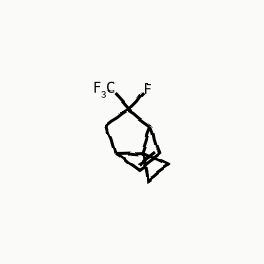 FC(F)(F)C1(F)CC2C=CC1C21CC1